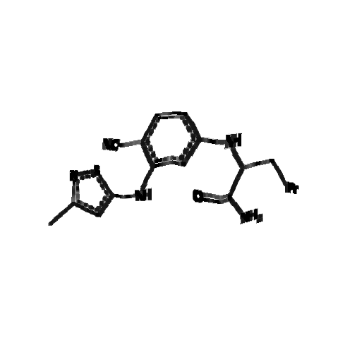 Cc1cc(Nc2cc(NC(CC(C)C)C(N)=O)ccc2C#N)sn1